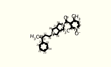 Cc1cc[n+]([O-])c(C)c1C(=O)N1CC2CN(CC[C@H](C)c3ccccc3)CC2C1